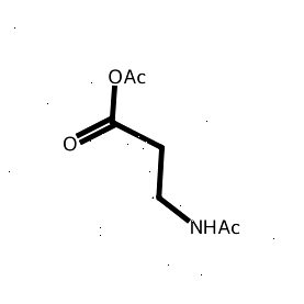 CC(=O)N[CH]CC(=O)OC(C)=O